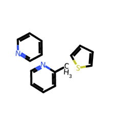 Cc1ccccn1.c1ccncc1.c1ccsc1